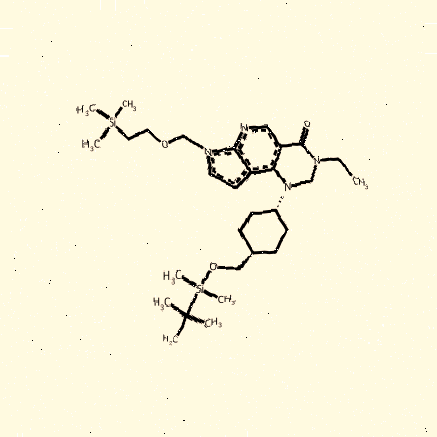 CCN1CN([C@H]2CC[C@H](CO[Si](C)(C)C(C)(C)C)CC2)c2c(cnc3c2ccn3COCC[Si](C)(C)C)C1=O